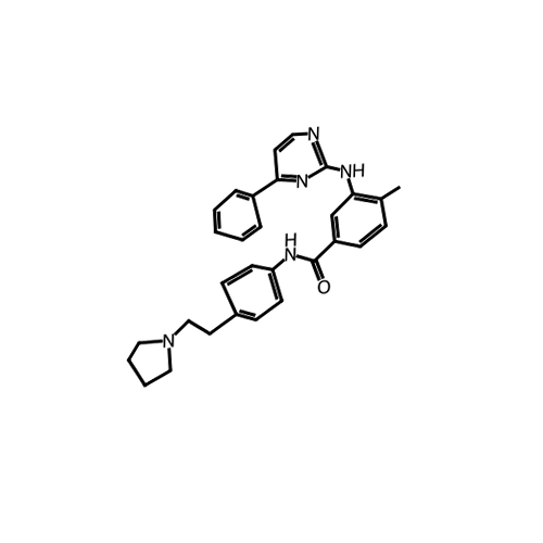 Cc1ccc(C(=O)Nc2ccc(CCN3CCCC3)cc2)cc1Nc1nccc(-c2ccccc2)n1